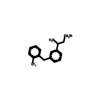 CCOC(=O)CC(N)c1cccc(Cc2ccccc2C(F)(F)F)c1